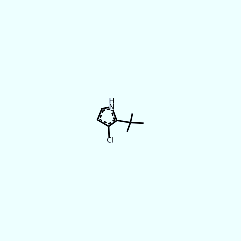 CC(C)(C)c1[nH]ccc1Cl